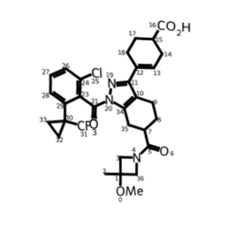 COC1(C)CN(C(=O)C2CCc3c(C4=CCC(C(=O)O)CC4)nn(C(=O)c4c(Cl)cccc4C4(C(F)(F)F)CC4)c3C2)C1